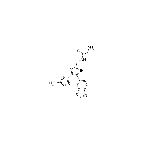 Cc1csc(-c2nc(CNC(=O)CN)[nH]c2-c2ccc3ncsc3c2)n1